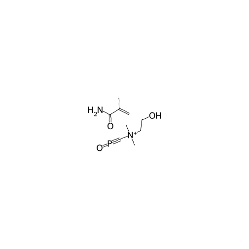 C=C(C)C(N)=O.C[N+](C)(C#P=O)CCO